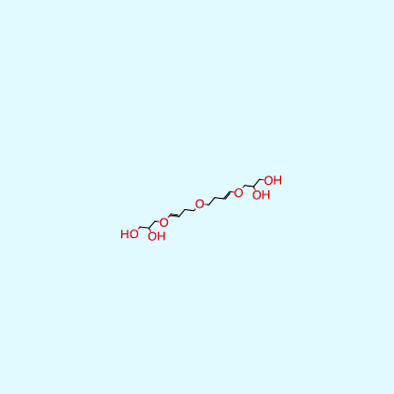 OCC(O)COC=CCCOCCC=COCC(O)CO